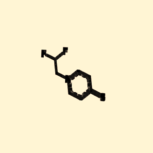 FC(F)Cn1ccc(=S)cc1